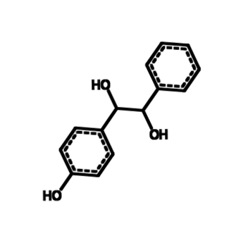 Oc1ccc(C(O)C(O)c2ccccc2)cc1